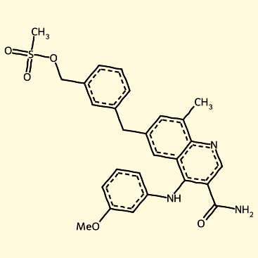 COc1cccc(Nc2c(C(N)=O)cnc3c(C)cc(Cc4cccc(COS(C)(=O)=O)c4)cc23)c1